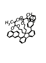 C=C(C)C(=O)OCCCC1(CCCOC(=O)C(=C)C)c2c(-c3ccc4ccccc4c3)cccc2-c2cccc(-c3ccc4ccccc4c3)c21